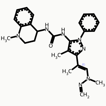 C=NN(C)/C=C(\C)c1nn(-c2ccccc2)c(NC(=O)NC2CCN(C)c3ccccc32)c1C